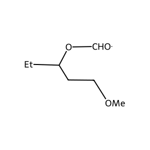 CCC(CCOC)O[C]=O